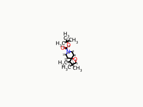 CC1C(C)(C)COC12CCN(C(=O)OC(C)(C)C)CC2